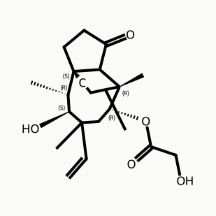 C=CC1(C)C[C@@H](OC(=O)CO)[C@]2(C)C(C)CC[C@]3(CCC(=O)C32)[C@@H](C)[C@@H]1O